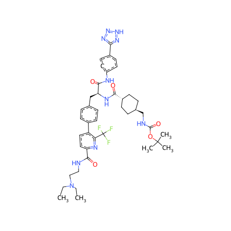 CCN(CC)CCNC(=O)c1ccc(-c2ccc(C[C@H](NC(=O)[C@H]3CC[C@H](CNC(=O)OC(C)(C)C)CC3)C(=O)Nc3ccc(-c4nn[nH]n4)cc3)cc2)c(C(F)(F)F)n1